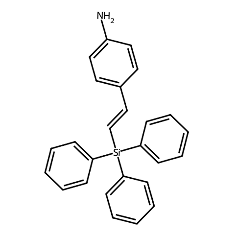 Nc1ccc(/C=C/[Si](c2ccccc2)(c2ccccc2)c2ccccc2)cc1